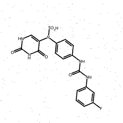 O=C(Nc1ccc(N(c2c[nH]c(=O)[nH]c2=O)S(=O)(=O)O)cc1)Nc1cccc(F)c1